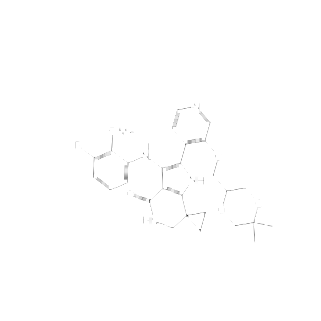 COc1c(F)cccc1Nc1c(-c2ccncc2OCC2COC(C)(C)CO2)[nH]c2c1C(=O)NCC21CC1